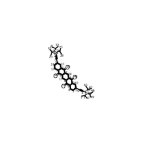 CC(C)[Si](C#Cc1ccc2c(=O)c3cc4c(=O)c5ccc(C#C[Si](C(C)C)(C(C)C)C(C)C)cc5c(=O)c4cc3c(=O)c2c1)(C(C)C)C(C)C